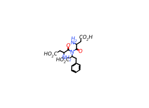 NC(CC(=O)O)C(=O)N(C(=O)C(N)CC(=O)O)C(Cc1ccccc1)C(=O)O